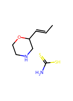 CC=CC1CNCCO1.NC(=S)S